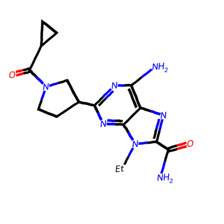 CCn1c(C(N)=O)nc2c(N)nc(C3CCN(C(=O)C4CC4)C3)nc21